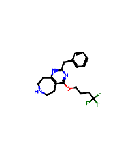 FC(F)(F)CCCOc1nc(Cc2ccccc2)nc2c1CCNCC2